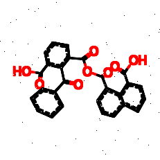 O=C(O)c1cccc(C(=O)OC(=O)c2cccc3cccc(C(=O)O)c23)c1C(=O)c1ccccc1